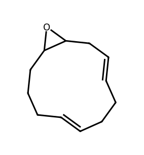 C1=C/CCCC2OC2C/C=C/CC/1